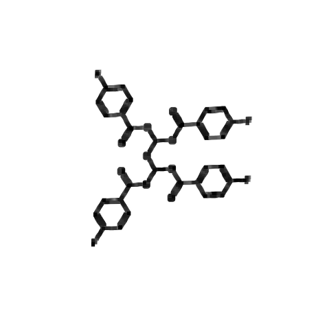 O=C(OC(OC(=O)c1ccc(F)cc1)OC(OC(=O)c1ccc(F)cc1)OC(=O)c1ccc(F)cc1)c1ccc(F)cc1